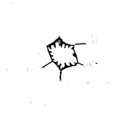 Pc1c(S)ccc(S)c1P